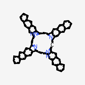 c1ccc2cc3cc4c(cc3cc2c1)-c1cc2[nH]c(cc3nc(cc5[nH]c(cc-4n1)c1cc4cc6ccccc6cc4cc51)-c1cc4cc5ccccc5cc4cc1-3)c1cc3cc4ccccc4cc3cc21